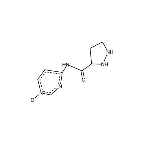 O=C(Nc1cc[n+]([O-])cn1)C1CCNN1